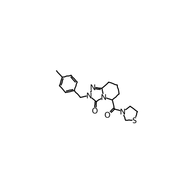 Cc1ccc(Cn2nc3n(c2=O)C(C(=O)N2CCSC2)CCC3)cc1